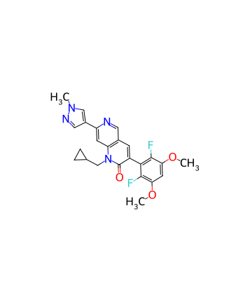 COc1cc(OC)c(F)c(-c2cc3cnc(-c4cnn(C)c4)cc3n(CC3CC3)c2=O)c1F